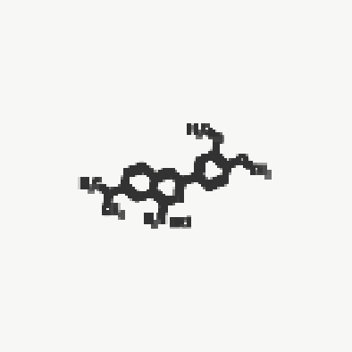 COc1ccc(-c2cc3ccc(N(C)C)cc3c(N)n2)cc1OC.Cl